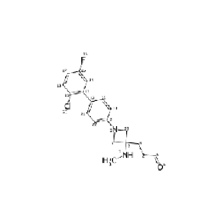 CNC1(CCC=O)CN(c2ccc(-c3cc(F)ccc3Cl)cc2)C1